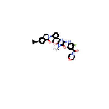 Cn1cc(-c2cccc(N3CCc4cc(C5CC5)ccc4C3=O)c2CO)nc(Nc2ccc(C(=O)N3CCOCC3)c(F)c2)c1=O